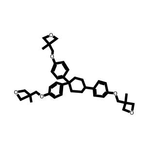 CC1(COc2ccc(C3CCC(c4ccc(OCC5(C)COC5)cc4)(c4ccc(OCC5(C)COC5)cc4)CC3)cc2)COC1